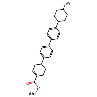 CCCCCCCCOC(=O)C1=CCC(c2ccc(-c3ccc(C4CCC(CCC)CC4)cc3)cc2)CC1